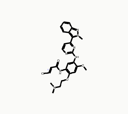 COc1cc(OCCN(C)C)c(NC(=O)/C=C/Cl)cc1Nc1nccc(-c2c3ccccc3nn2C)n1